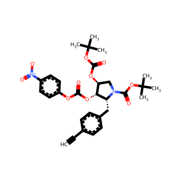 C#Cc1ccc(C[C@@H]2[C@H](OC(=O)Oc3ccc([N+](=O)[O-])cc3)[C@@H](OC(=O)OC(C)(C)C)CN2C(=O)OC(C)(C)C)cc1